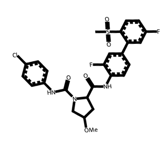 COC1CC(C(=O)Nc2ccc(-c3cc(F)ccc3S(C)(=O)=O)cc2F)N(C(=O)Nc2ccc(Cl)cc2)C1